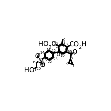 Cc1c(C(=O)O)c(C(=O)C2CC2)cc(-c2ccc(S(=O)(=O)CCO)cc2)c1C(=O)O